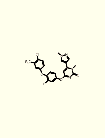 Cn1cc(-c2cc(Oc3ccc(Oc4ccc(Cl)c(C(F)(F)F)c4)c(F)c3)nc(=O)n2C)cn1